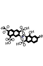 [NH]c1ccc2cc(S(=O)(=O)O)c(/N=N/c3cc4c(S(=O)(=O)O)cc(S(=O)(=O)O)cc4cc3S(=O)(=O)O)c(O)c2c1